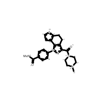 CNC(=O)c1ccc(-n2nc(C(=O)N3CCN(C)CC3)c3c2-c2ccsc2CC3)cc1